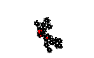 CC1(C)CCC(C)(Cc2ccc(N(c3cccc(-c4ccccc4)c3)c3ccc4c5c3-c3c(oc6ccccc36)B5c3oc5ccccc5c3N4c3coc4ccccc34)cc2)c2cc3sc4c(c3cc21)-c1c(N(c2ccccc2)c2ccc(-c3ccccc3)cc2)ccc2c1B4c1ccccc1N2c1ccccc1